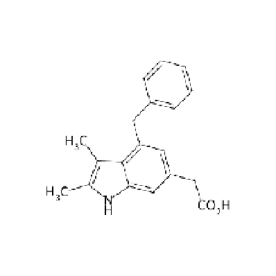 Cc1[nH]c2cc(CC(=O)O)cc(Cc3ccccc3)c2c1C